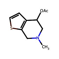 CC(=O)OC1CN(C)Cc2sccc21